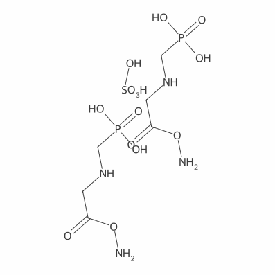 NOC(=O)CNCP(=O)(O)O.NOC(=O)CNCP(=O)(O)O.O=S(=O)(O)O